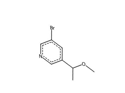 COC(C)c1cncc(Br)c1